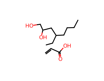 C=CC(=O)O.CCCCC(CC)CC(O)CO